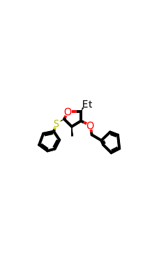 CC[C@H]1O[C@@H](Sc2ccccc2)[C@H](C)C1OCc1ccccc1